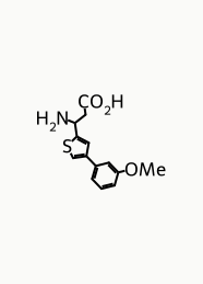 COc1cccc(-c2csc(C(N)CC(=O)O)c2)c1